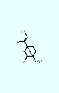 CC1CC2(/C(Cl)=N/O)CCC1(C(=O)O)CC2